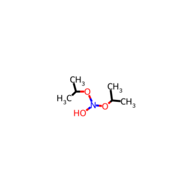 CC(C)ON(O)OC(C)C